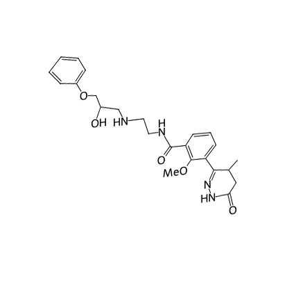 COc1c(C(=O)NCCNCC(O)COc2ccccc2)cccc1C1=NNC(=O)CC1C